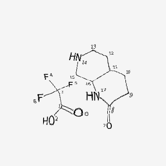 O=C(O)C(F)(F)F.O=C1CCC2CCNCC2N1